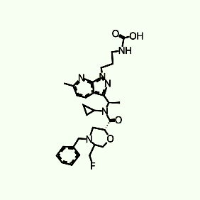 Cc1ccc2c([C@@H](C)N(C(=O)[C@H]3CN(Cc4ccccc4)C(CF)CO3)C3CC3)nn(CCCNC(=O)O)c2n1